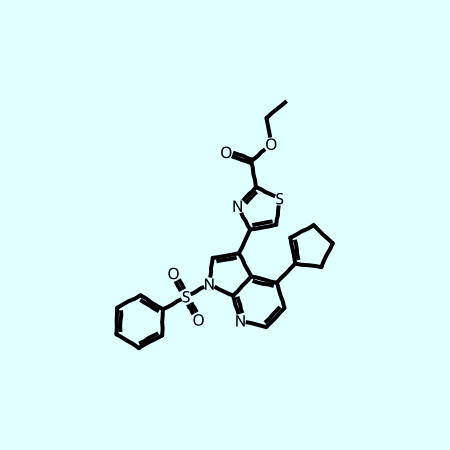 CCOC(=O)c1nc(-c2cn(S(=O)(=O)c3ccccc3)c3nccc(C4=CCCC4)c23)cs1